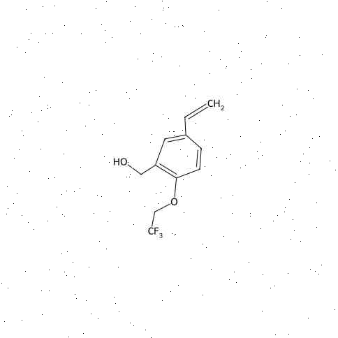 C=Cc1ccc(OCC(F)(F)F)c(CO)c1